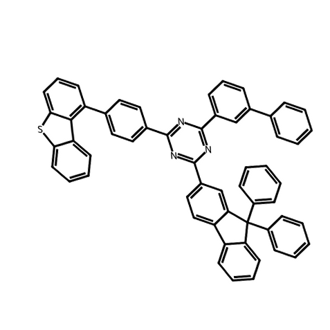 c1ccc(-c2cccc(-c3nc(-c4ccc(-c5cccc6sc7ccccc7c56)cc4)nc(-c4ccc5c(c4)C(c4ccccc4)(c4ccccc4)c4ccccc4-5)n3)c2)cc1